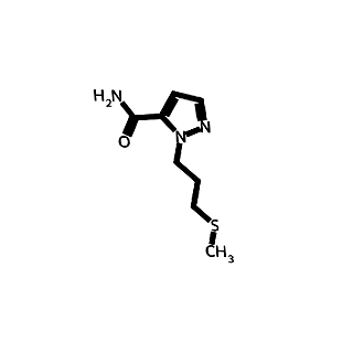 CSCCCn1nccc1C(N)=O